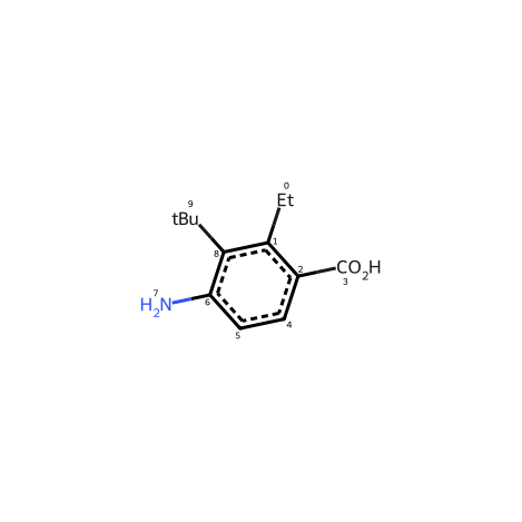 CCc1c(C(=O)O)ccc(N)c1C(C)(C)C